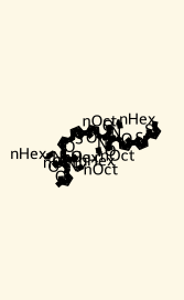 CCCCCCCCC(CCCCCC)CN1C(=O)C2=C(c3ccc(-c4ccc(-c5ccc(C6=C7C(=O)N(CC(CCCCCC)CCCCCCCC)C(c8ccc(-c9ccc(-c%10ccc(C)s%10)s9)o8)=C7C(=O)N6CC(CCCCCC)CCCCCCCC)o5)s4)o3)N(CC(CCCCCC)CCCCCCCC)C(=O)C2=C1c1ccc(C)o1